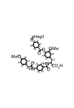 CCCCCCCOc1ccc(C(=O)Oc2ccc(CC(NC(=O)c3ccc(NC(=O)Cc4ccc(OC)cc4)cc3)C(=O)O)cc2OC)cc1